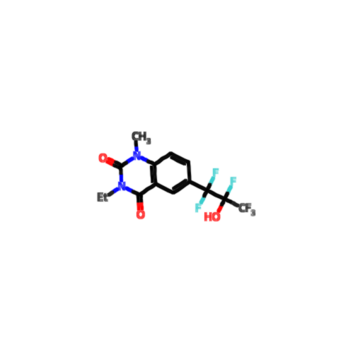 CCn1c(=O)c2cc(C(F)(F)C(O)(F)C(F)(F)F)ccc2n(C)c1=O